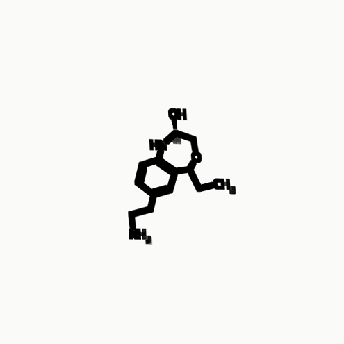 CCC1OC[C@@H](O)Nc2ccc(CCN)cc21